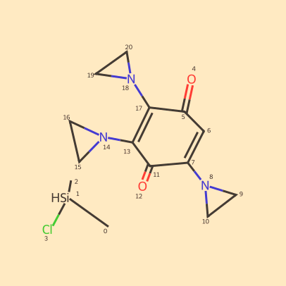 C[SiH](C)Cl.O=C1C=C(N2CC2)C(=O)C(N2CC2)=C1N1CC1